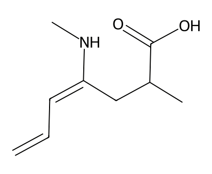 C=C/C=C(\CC(C)C(=O)O)NC